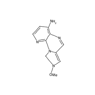 CON1C=C2C=Nc3c(N)ccnc3N2C1